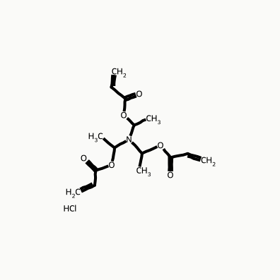 C=CC(=O)OC(C)N(C(C)OC(=O)C=C)C(C)OC(=O)C=C.Cl